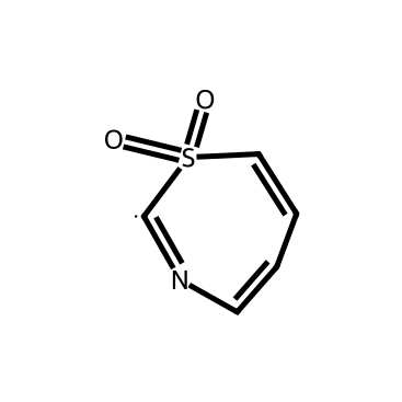 O=S1(=O)[C]=NC=CC=C1